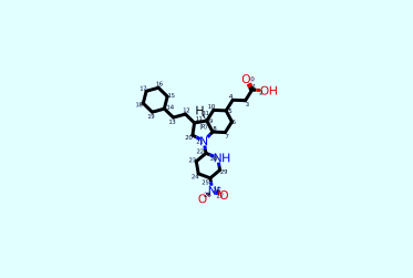 O=C(O)CCC1CCC2[C@H](C1)C(CCC1CCCCC1)CN2C1CCC([N+](=O)[O-])CN1